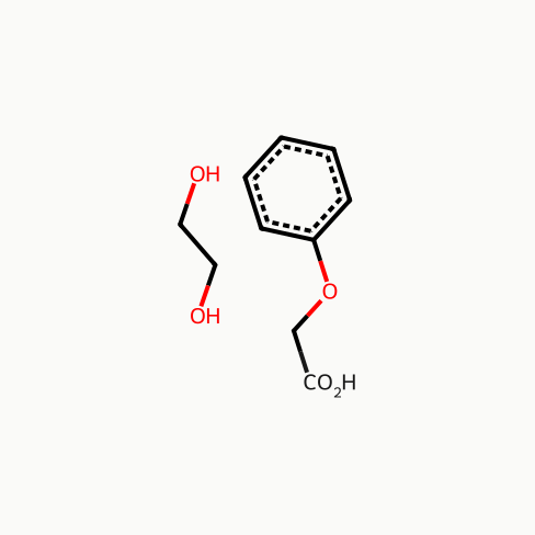 O=C(O)COc1ccccc1.OCCO